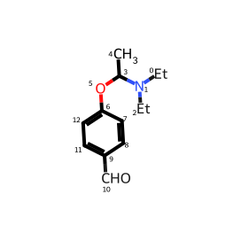 CCN(CC)C(C)Oc1ccc(C=O)cc1